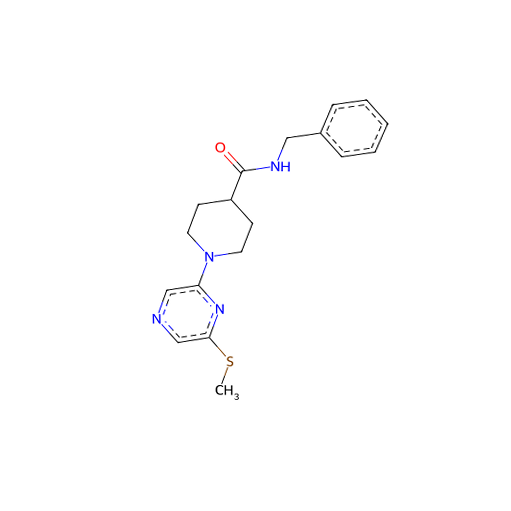 CSc1cncc(N2CCC(C(=O)NCc3ccccc3)CC2)n1